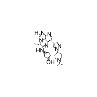 CCc1nc2c(N)ncc(-c3cnn(C4CCN(C(C)C)CC4)c3)c2nc1N[C@@H]1CC[C@H](O)C1